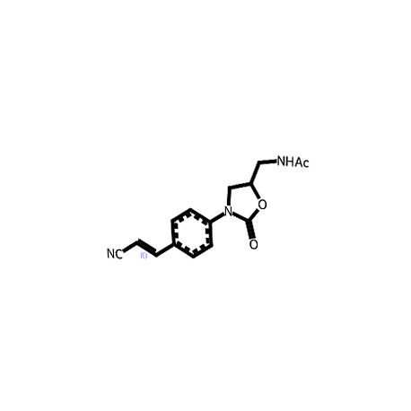 CC(=O)NCC1CN(c2ccc(/C=C/C#N)cc2)C(=O)O1